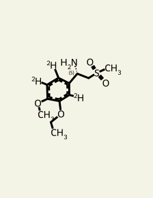 [2H]c1c([2H])c([C@H](N)CS(C)(=O)=O)c([2H])c(OCC)c1OC